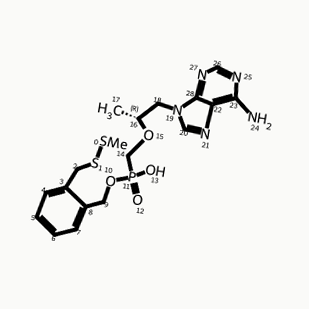 CSSCc1ccccc1COP(=O)(O)CO[C@H](C)Cn1cnc2c(N)ncnc21